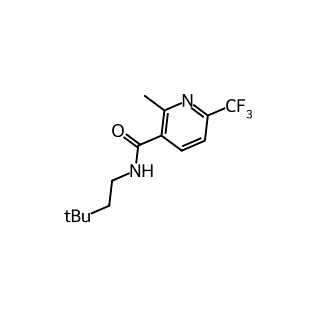 Cc1nc(C(F)(F)F)ccc1C(=O)NCCC(C)(C)C